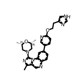 Cc1nc(N2C[C@@H](C)O[C@@H](C)C2)n2c1cnc1ccc(-c3ccc(OCCc4c[nH]cn4)nc3)cc12